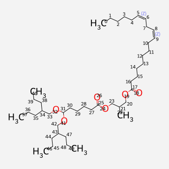 CCCCC/C=C\C/C=C\CCCCCCCC(=O)OCC(C)COC(=O)CCCCC(OCC(CCC)CCC)OCC(CCC)CCC